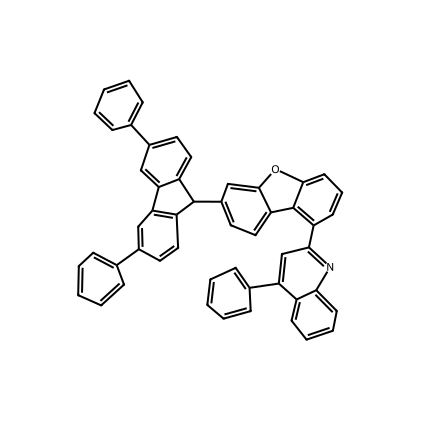 c1ccc(-c2ccc3c(c2)-c2cc(-c4ccccc4)ccc2C3c2ccc3c(c2)oc2cccc(-c4cc(-c5ccccc5)c5ccccc5n4)c23)cc1